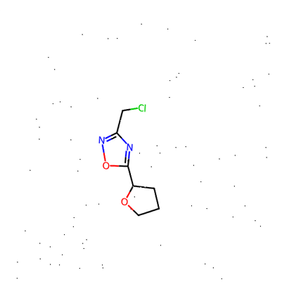 ClCc1noc(C2CCCO2)n1